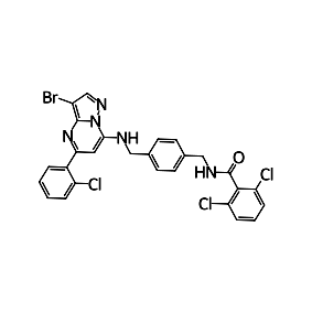 O=C(NCc1ccc(CNc2cc(-c3ccccc3Cl)nc3c(Br)cnn23)cc1)c1c(Cl)cccc1Cl